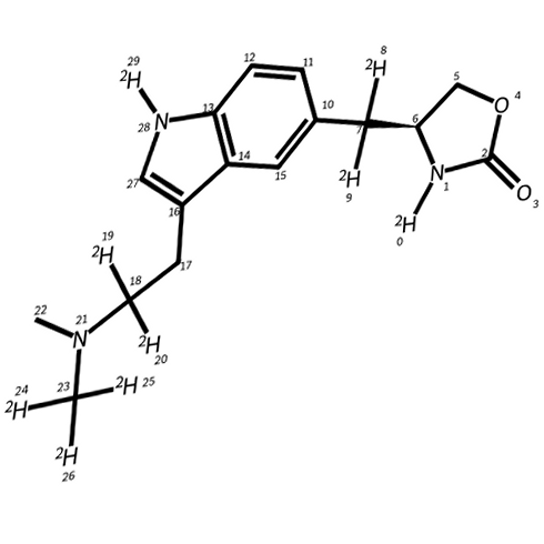 [2H]N1C(=O)OC[C@@H]1C([2H])([2H])c1ccc2c(c1)c(CC([2H])([2H])N(C)C([2H])([2H])[2H])cn2[2H]